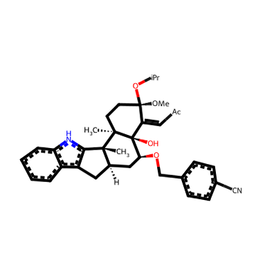 CO[C@]1(OC(C)C)CC[C@]2(C)[C@@]3(C)c4[nH]c5ccccc5c4C[C@@H]3C[C@H](OCc3ccc(C#N)cc3)[C@@]2(O)/C1=C/C(C)=O